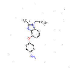 CCOC(=O)Cn1c(C)nc2c(Oc3ccc(N)cc3)cccc21